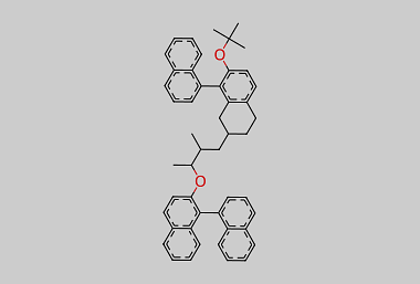 CC(CC1CCc2ccc(OC(C)(C)C)c(-c3cccc4ccccc34)c2C1)C(C)Oc1ccc2ccccc2c1-c1cccc2ccccc12